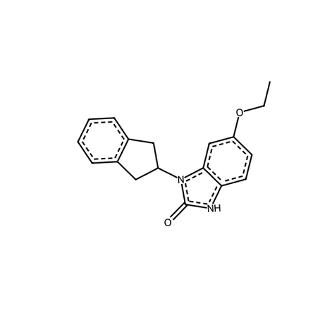 CCOc1ccc2[nH]c(=O)n(C3Cc4ccccc4C3)c2c1